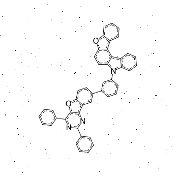 c1ccc(-c2nc(-c3ccccc3)c3oc4ccc(-c5cccc(-n6c7ccccc7c7c8c(ccc76)oc6ccccc68)c5)cc4c3n2)cc1